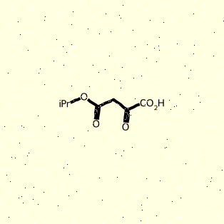 CC(C)OC(=O)CC(=O)C(=O)O